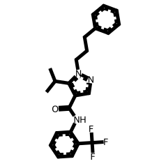 CC(C)c1c(C(=O)Nc2ccccc2C(F)(F)F)cnn1CCCc1ccccc1